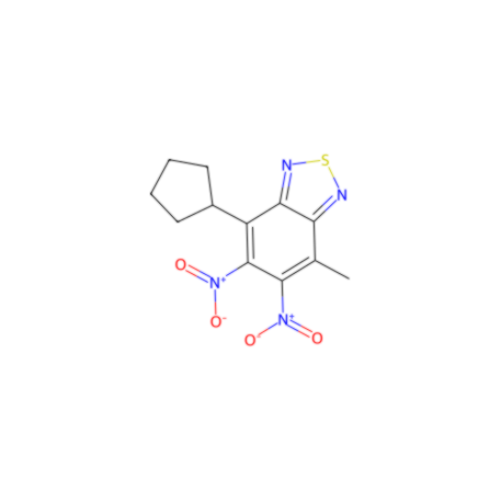 Cc1c([N+](=O)[O-])c([N+](=O)[O-])c(C2CCCC2)c2nsnc12